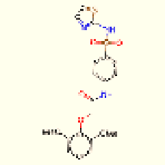 COc1cccc(OC)c1OCC(=O)Nc1ccc(S(=O)(=O)Nc2nccs2)cc1